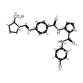 O=C(Nc1ccsc1C(=O)Nc1ccc(Cl)cn1)c1ccc(N=CN2CCCC2C(=O)O)cc1